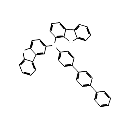 c1ccc(-c2ccc(-c3ccc(N(c4ccc5sc6ccccc6c5c4)c4cccc5c4oc4ccccc45)cc3)cc2)cc1